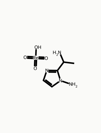 CC(N)c1nccn1N.[O]=[Re](=[O])(=[O])[OH]